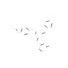 CNc1nc2ccc(Nc3nc(=O)n(Cc4ccc[nH]c4=O)c(=O)n3Cc3cc(F)c(F)c(F)c3)cc2s1